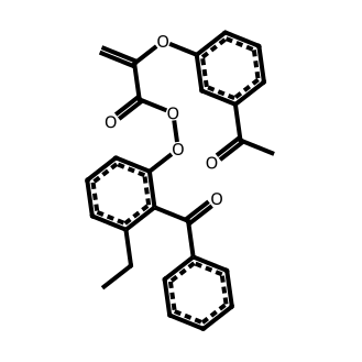 C=C(Oc1cccc(C(C)=O)c1)C(=O)OOc1cccc(CC)c1C(=O)c1ccccc1